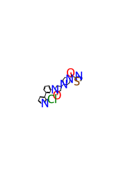 O=C(c1nccs1)N1CCN(C2CC(=O)N(c3cccc(-c4cccnc4Cl)c3)C2)CC1